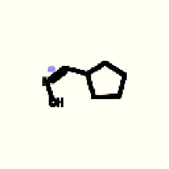 O/N=C\C1CCCC1